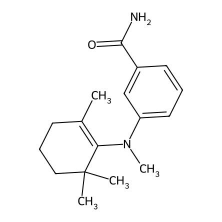 CC1=C(N(C)c2cccc(C(N)=O)c2)C(C)(C)CCC1